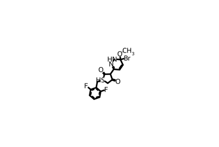 COC1(Br)C=CC(C2C(=O)C[SH](Cc3c(F)cccc3F)C2=O)=NN1